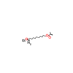 C=C(C)C(=O)OCCCCCCCCCC[SiH2]OCC